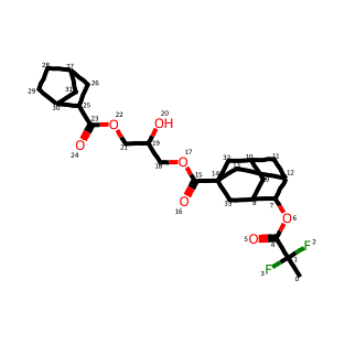 CC(F)(F)C(=O)OC1C2CC3CC1CC(C(=O)OCC(O)COC(=O)C1CC4CCC1C4)(C3)C2